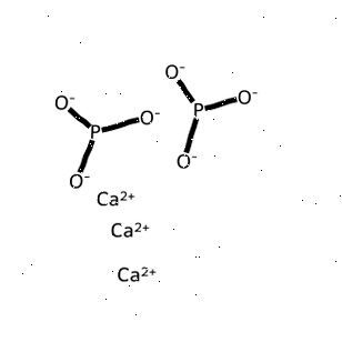 [Ca+2].[Ca+2].[Ca+2].[O-]P([O-])[O-].[O-]P([O-])[O-]